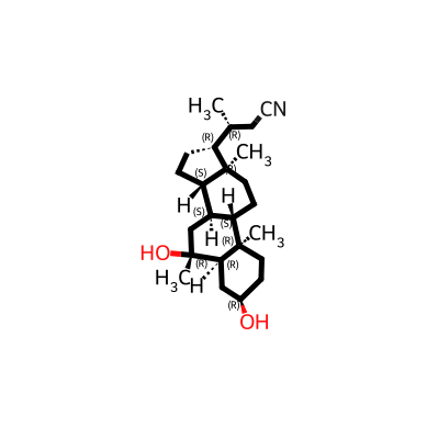 C[C@H](CC#N)[C@H]1CC[C@H]2[C@@H]3C[C@@](C)(O)[C@@H]4C[C@H](O)CC[C@]4(C)[C@H]3CC[C@]12C